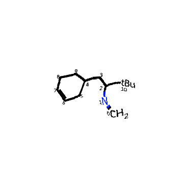 C=NC(CC1CC=CCC1)C(C)(C)C